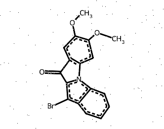 COc1cc2c(cc1OC)-n1c(c(Br)c3ccccc31)C2=O